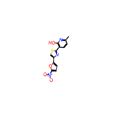 Cc1ccc(-c2nc(-c3ccc([N+](=O)[O-])o3)cs2)c(O)n1